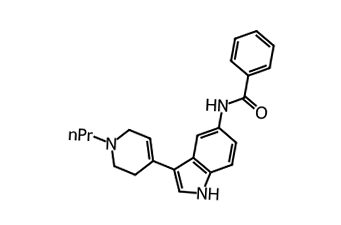 CCCN1CC=C(c2c[nH]c3ccc(NC(=O)c4ccccc4)cc23)CC1